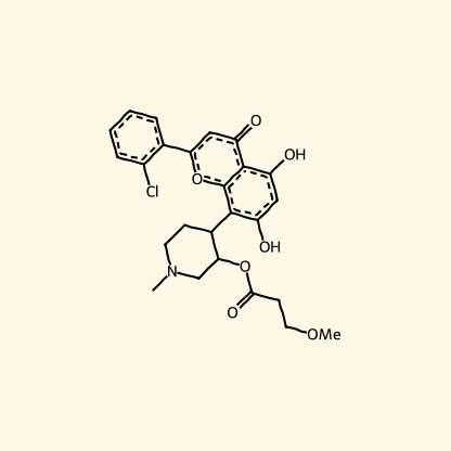 COCCC(=O)OC1CN(C)CCC1c1c(O)cc(O)c2c(=O)cc(-c3ccccc3Cl)oc12